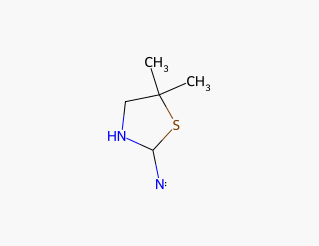 CC1(C)CNC([N])S1